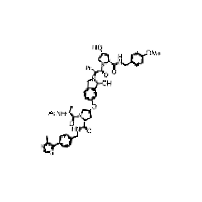 COc1ccc(CNC(=O)[C@@H]2C[C@@H](O)CN2C(=O)[C@H](C(C)C)N2Cc3ccc(O[C@@H]4C[C@@H](C(=O)NCc5ccc(-c6scnc6C)cc5)N(C(=O)[C@H](C)NC(C)=O)C4)cc3C2O)cc1